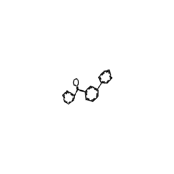 O=C(c1ccccc1)c1cccc(-c2ccccc2)c1